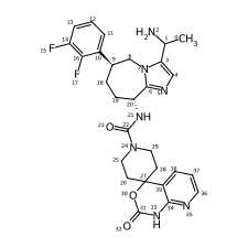 CC(N)c1cnc2n1C[C@H](c1cccc(F)c1F)CC[C@H]2NC(=O)N1CCC2(CC1)OC(=O)Nc1ncccc12